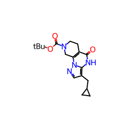 CC(C)(C)OC(=O)N1CCc2c(n3ncc(CC4CC4)c3[nH]c2=O)C1